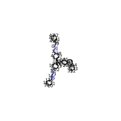 C(/C=C/c1ccc(N(c2ccc(/C=C/C=C/c3ccccc3)cc2)c2ccc(Oc3ccccc3)cc2)cc1)=C\c1ccccc1